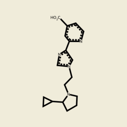 O=C(O)c1ccnc(-c2cn(CCN3CCCC3C3CC3)cn2)c1